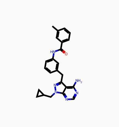 Cc1cccc(C(=O)Nc2cccc(Cc3nn(CC4CC4)c4ncnc(N)c34)c2)c1